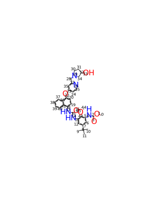 COC(=O)Nc1cc(C(C)(C)C)cc(NC(=O)Nc2ccc(Oc3ccnc(CN4CCC(O)C4)c3)c3ccccc23)c1OC